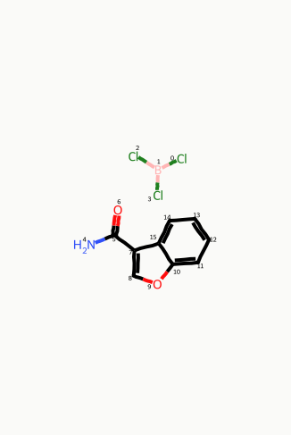 ClB(Cl)Cl.NC(=O)c1coc2ccccc12